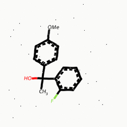 COc1ccc(C(C)(O)c2ccccc2F)cc1